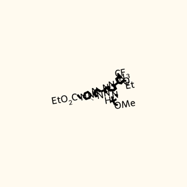 CCOC(=O)CCN1CCN(c2cnc(-c3nc4nc(-c5cc(OCC)nc(C(F)(F)F)c5)cc(N(C)CC(C)(C)COC)c4[nH]3)cn2)[C@H](C)C1